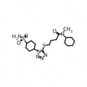 CN(C(=O)CCCSc1nnnn1C1CCC(S(N)(=O)=O)CC1)C1CCCCC1